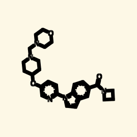 O=C(c1ccc2c(ccn2-c2ccc(OC3CCN(CN4CCOCC4)CC3)cn2)c1)N1CCC1